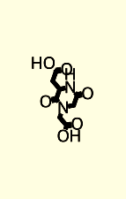 O=C(O)CC1NC(=O)CN(CC(=O)O)C1=O